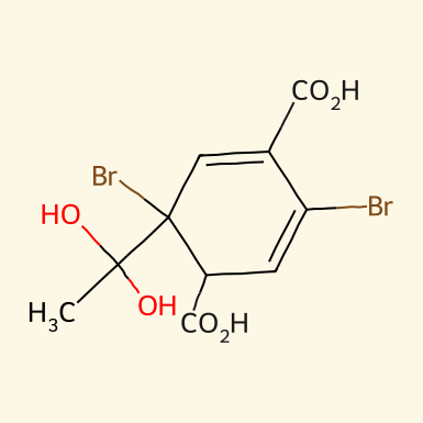 CC(O)(O)C1(Br)C=C(C(=O)O)C(Br)=CC1C(=O)O